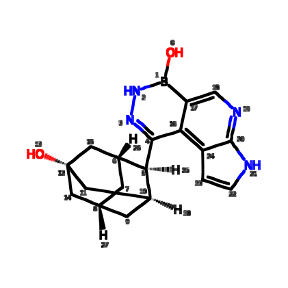 OB1NN=C([C@@H]2[C@@H]3C[C@@H]4C[C@H]2C[C@@](O)(C4)C3)c2c1cnc1[nH]ccc21